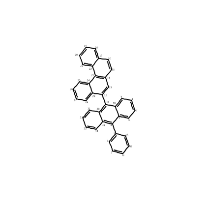 c1ccc(-c2c3ccccc3c(-c3cc4ccc5ccccc5c4c4ccccc34)c3ccccc23)cc1